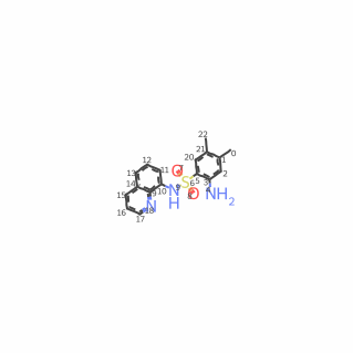 Cc1cc(N)c(S(=O)(=O)Nc2cccc3cccnc23)cc1C